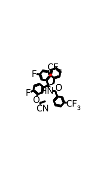 CC(C#N)Oc1cc([C@@](Cc2ccccc2)(NC(=O)c2cccc(C(F)(F)F)c2)c2cc(F)cc(C(F)(F)F)c2)ccc1F